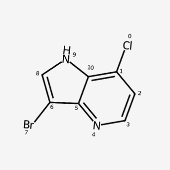 Clc1ccnc2c(Br)c[nH]c12